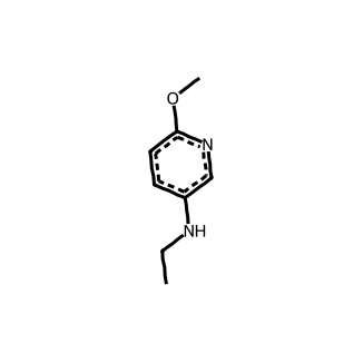 CCNc1ccc(OC)nc1